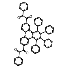 O=C(C(=O)c1ccc2c3ccc(C(=O)C(=O)c4ccccc4)cc3c3c(-c4ccccc4)c(-c4ccccc4)c(-c4ccccc4)c(-c4ccccc4)c3c2c1)c1ccccc1